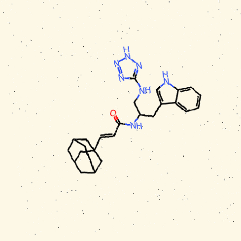 O=C(/C=C/C12CC3CC(CC(C3)C1)C2)NC(CNc1nn[nH]n1)Cc1c[nH]c2ccccc12